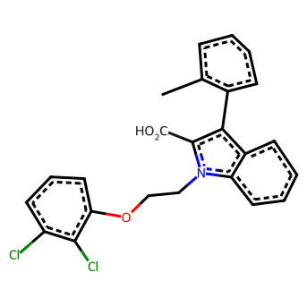 Cc1ccccc1-c1c(C(=O)O)n(CCOc2cccc(Cl)c2Cl)c2ccccc12